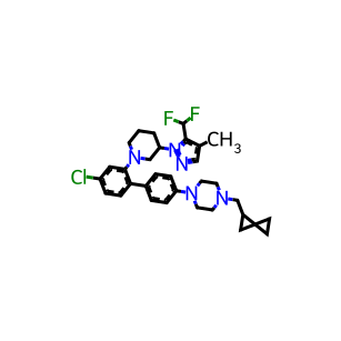 Cc1cnn(C2CCCN(c3cc(Cl)ccc3-c3ccc(N4CCN(CC5CC56CC6)CC4)cc3)C2)c1C(F)F